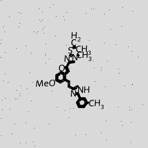 C=C(C)Sc1nc(-c2cc3c(CCc4c[nH]c(-c5cccc(C)c5)n4)cc(OC)cc3o2)cn1C